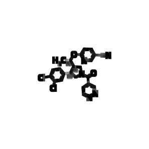 C[C@H](Oc1ccc(C#N)cn1)[C@H]1CN(C(=O)c2ccnnc2)C[C@@H]1c1ccc(Cl)c(Cl)c1